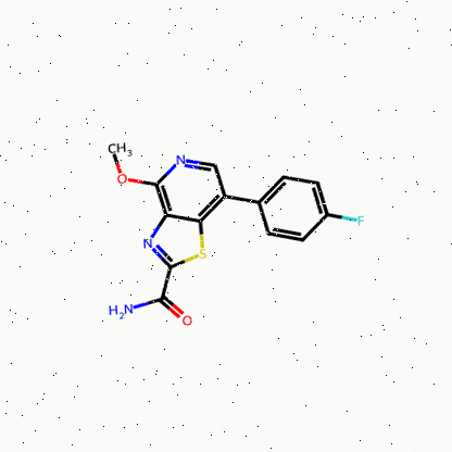 COc1ncc(-c2ccc(F)cc2)c2sc(C(N)=O)nc12